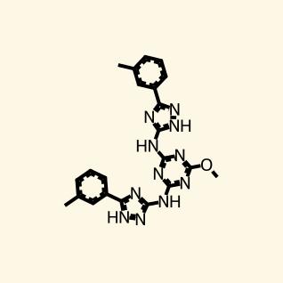 COc1nc(Nc2n[nH]c(-c3cccc(C)c3)n2)nc(Nc2nc(-c3cccc(C)c3)n[nH]2)n1